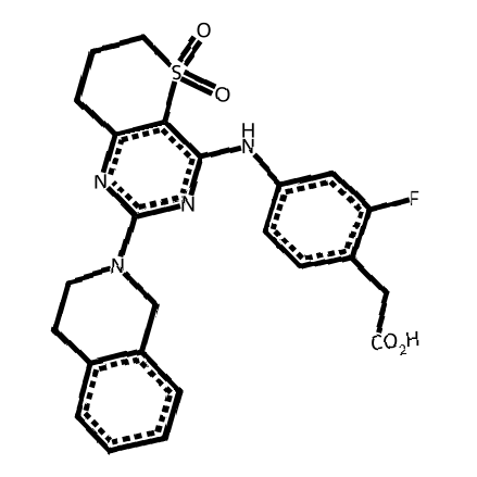 O=C(O)Cc1ccc(Nc2nc(N3CCc4ccccc4C3)nc3c2S(=O)(=O)CCC3)cc1F